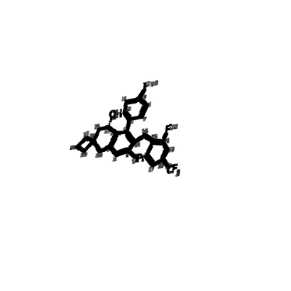 CC(C)c1cc2c(c(-c3ccc(F)cc3)c1Cc1ccc(C(F)(F)F)cc1F)[C@@H](O)CC1(CCC1)C2